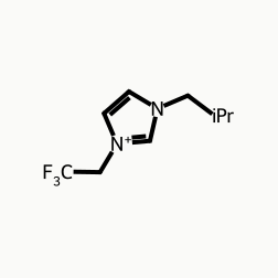 CC(C)Cn1cc[n+](CC(F)(F)F)c1